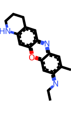 CCN=c1cc2oc3cc4c(cc3nc-2cc1C)CCCN4